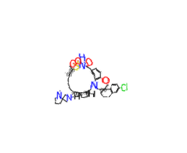 C[C@@H]1[C@@H](C)CCC[C@@H](CN2CC3(CCCN3C)C2)[C@@H]2CC[C@H]2CN2C[C@@]3(CCCc4cc(Cl)ccc43)COc3ccc(cc32)C(=O)NS1(=O)=O